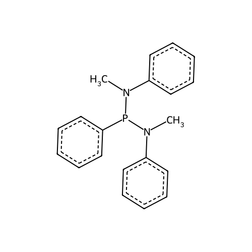 CN(c1ccccc1)P(c1ccccc1)N(C)c1ccccc1